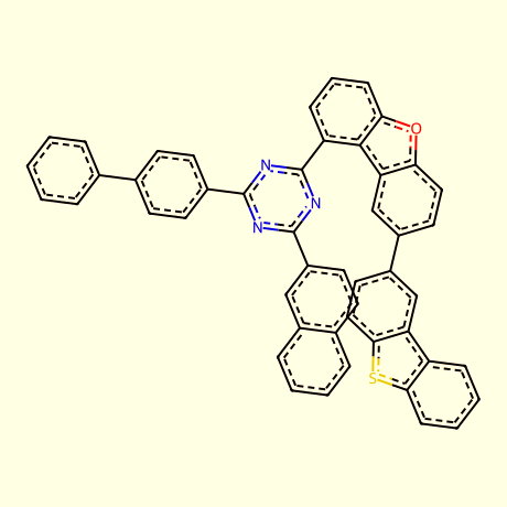 c1ccc(-c2ccc(-c3nc(-c4ccc5ccccc5c4)nc(-c4cccc5oc6ccc(-c7ccc8sc9ccccc9c8c7)cc6c45)n3)cc2)cc1